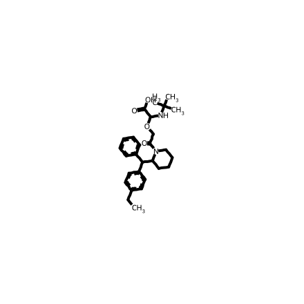 CCc1ccc(C(c2ccccc2)C2CCCCN2C(=O)COC(NC(C)(C)C)C(=O)O)cc1